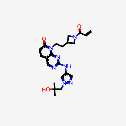 C=CC(=O)N1CC(CCn2c(=O)ccc3cnc(Nc4cnn(CC(C)(C)O)c4)nc32)C1